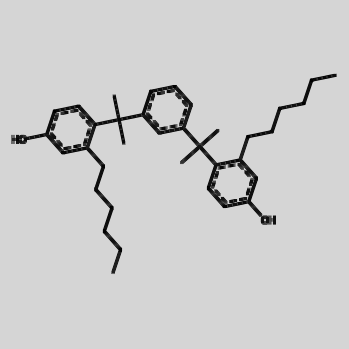 CCCCCCc1cc(O)ccc1C(C)(C)c1cccc(C(C)(C)c2ccc(O)cc2CCCCCC)c1